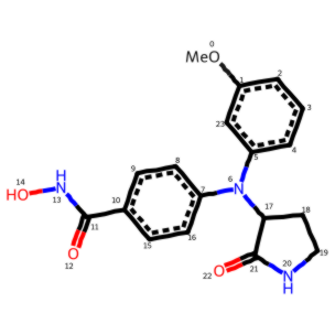 COc1cccc(N(c2ccc(C(=O)NO)cc2)C2CCNC2=O)c1